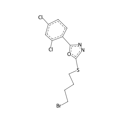 Clc1ccc(-c2nnc(SCCCCBr)o2)c(Cl)c1